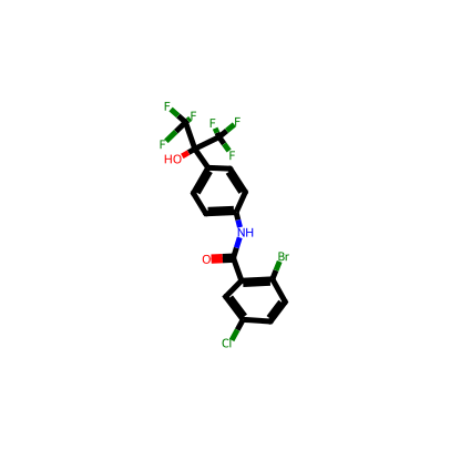 O=C(Nc1ccc(C(O)(C(F)(F)F)C(F)(F)F)cc1)c1cc(Cl)ccc1Br